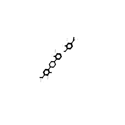 CC(O)c1ccc(C2CCC(c3ccc(OCc4ccc(C5CO5)c(F)c4F)c(F)c3F)CC2)c(F)c1F